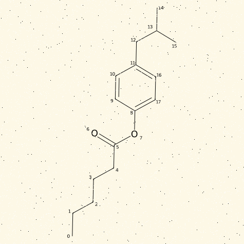 CCCCCC(=O)Oc1ccc(CC(C)C)cc1